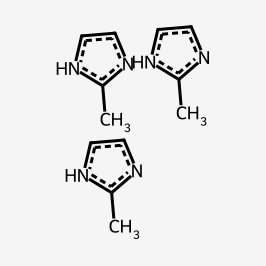 Cc1ncc[nH]1.Cc1ncc[nH]1.Cc1ncc[nH]1